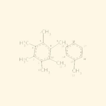 Cc1c(C)c(C)c(C)c(C)c1C.Cc1ccccc1